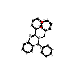 c1ccc(CN2C(c3ccccc3)=Nc3ccccc3C2c2ccccc2)cc1